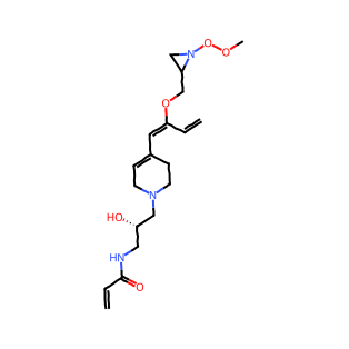 C=CC(=O)NC[C@H](O)CN1CC=C(/C=C(\C=C)OCC2CN2OOC)CC1